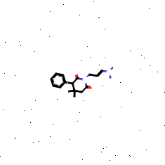 CN(C)C=CCN1C(=O)CC(C)(C)C(c2ccccc2)C1=O